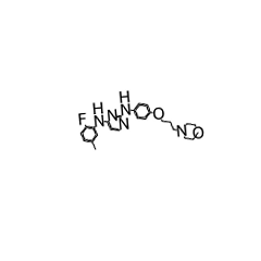 Cc1ccc(F)c(Nc2ccnc(Nc3ccc(OCCCN4CCOCC4)cc3)n2)c1